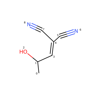 CC(O)C=C(C#N)C#N